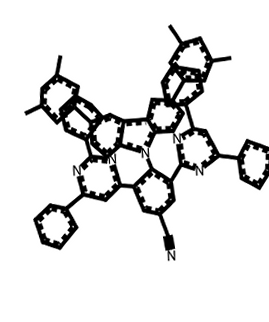 Cc1cc(C)cc(-c2ccc3c(c2)c2cc(-c4cc(C)cc(C)c4)ccc2n3-c2c(-c3cc(-c4ccccc4)nc(-c4ccccc4)n3)cc(C#N)cc2-c2nc(-c3ccccc3)cc(-c3ccccc3)n2)c1